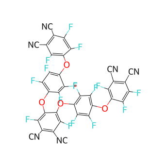 [C-]#[N+]c1c(F)c(Oc2c(F)c(F)c(Oc3c(F)c(F)c(C#N)c(C#N)c3F)c(F)c2F)c(Oc2c(F)c(F)c(Oc3c(F)c(F)c(C#N)c(C#N)c3F)c(F)c2F)c(F)c1[N+]#[C-]